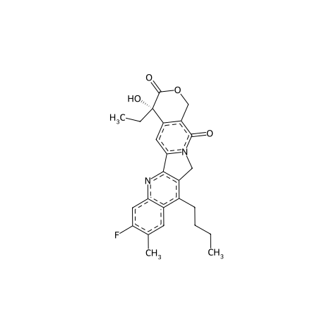 CCCCc1c2c(nc3cc(F)c(C)cc13)-c1cc3c(c(=O)n1C2)COC(=O)[C@]3(O)CC